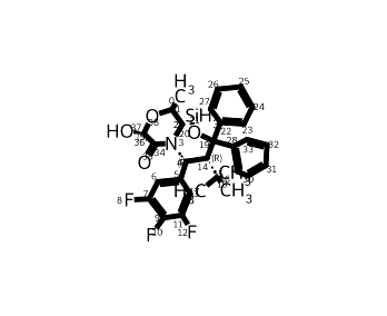 CC1CN([C@@H](c2cc(F)c(F)c(F)c2)[C@@H](C(C)(C)C)C(O[SiH3])(c2ccccc2)c2ccccc2)C(=O)[C@@H](O)O1